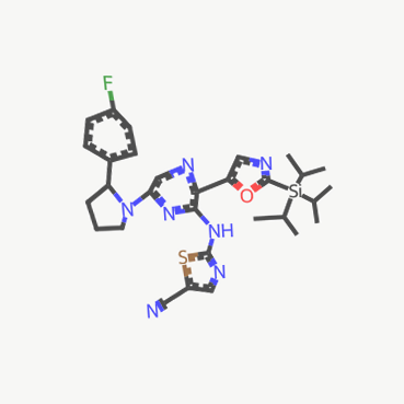 CC(C)[Si](c1ncc(-c2ncc(N3CCCC3c3ccc(F)cc3)nc2Nc2ncc(C#N)s2)o1)(C(C)C)C(C)C